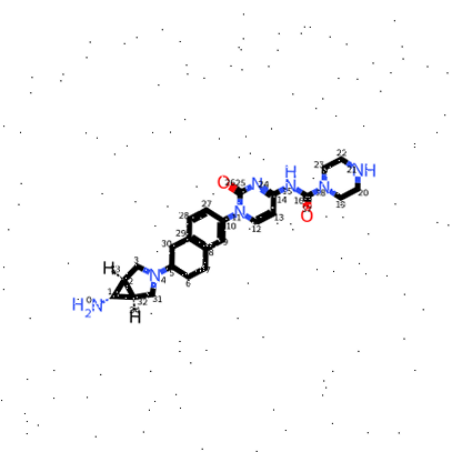 N[C@@H]1[C@H]2CN(C3CCc4cc(-n5ccc(NC(=O)N6CCNCC6)nc5=O)ccc4C3)C[C@@H]12